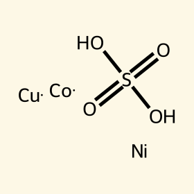 O=S(=O)(O)O.[Co].[Cu].[Ni]